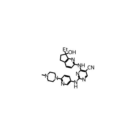 CCC1(O)CCc2ccc(Nc3nc(Nc4ccc(N5CCN(C)CC5)nc4)ncc3C#N)nc21